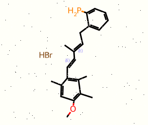 Br.COc1cc(C)c(/C=C/C(C)=C/Cc2ccccc2P)c(C)c1C